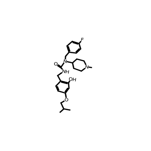 CC(C)COc1ccc(CNC(=O)N(Cc2ccc(F)cc2)C2CCN(C)CC2)c(O)c1